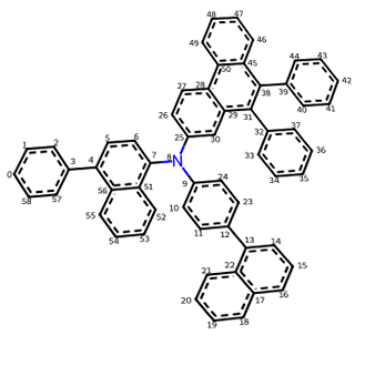 c1ccc(-c2ccc(N(c3ccc(-c4cccc5ccccc45)cc3)c3ccc4c(c3)c(-c3ccccc3)c(-c3ccccc3)c3ccccc34)c3ccccc23)cc1